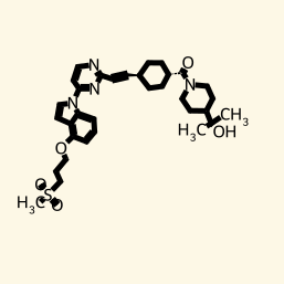 CC(C)(O)C1CCN(C(=O)[C@H]2CC[C@H](C#Cc3nccc(-n4ccc5c(OCCCS(C)(=O)=O)cccc54)n3)CC2)CC1